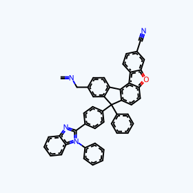 C=NCc1ccc2c(c1)C(c1ccccc1)(c1ccc(-c3nc4ccccc4n3-c3ccccc3)cc1)c1ccc3oc4cc(C#N)ccc4c3c1-2